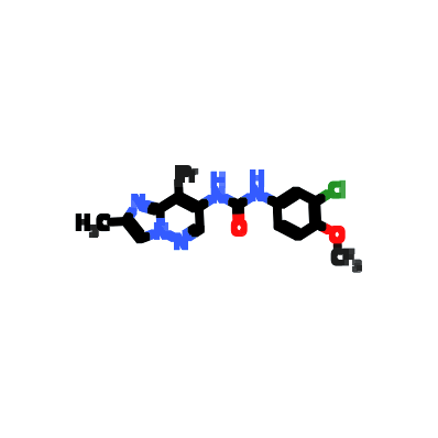 Cc1cn2ncc(NC(=O)Nc3ccc(OC(F)(F)F)c(Cl)c3)c(C(C)C)c2n1